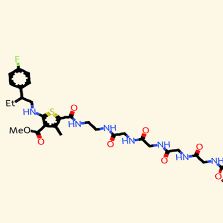 CCC(CNc1sc(C(=O)NCCNC(=O)CNC(=O)CNC(=O)CNC(=O)CNC(=O)OC(C)(C)C)c(C)c1C(=O)OC)c1ccc(F)cc1